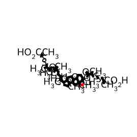 CC(CSSCC(C)C(=O)OC1CC[C@]2(C)C3=C(CC[C@H]2C1(C)C)[C@]1(C)CC[C@H]([C@H](C)CCCC(C)(C)OC(=O)C(C)CSSCC(C)C(=O)O)[C@@]1(C)CC3)C(=O)O